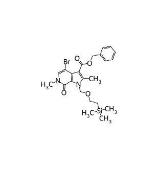 Cc1c(C(=O)OCc2ccccc2)c2c(Br)cn(C)c(=O)c2n1COCC[Si](C)(C)C